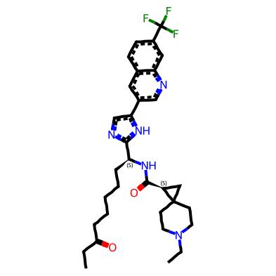 CCC(=O)CCCCC[C@H](NC(=O)[C@H]1CC12CCN(CC)CC2)c1ncc(-c2cnc3cc(C(F)(F)F)ccc3c2)[nH]1